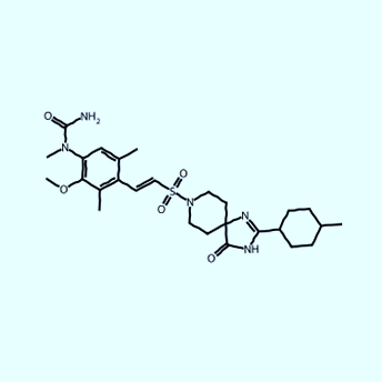 COc1c(N(C)C(N)=O)cc(C)c(C=CS(=O)(=O)N2CCC3(CC2)N=C(C2CCC(C)CC2)NC3=O)c1C